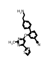 Cc1nc(Oc2cc(C#N)ccc2-c2ccc(CCN)cc2)cc(-c2nccs2)n1